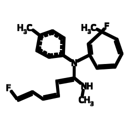 CN\C(=C/C=C\C=C\F)N(C1=CC(C)(F)C=CC=C1)c1ccc(C)cc1